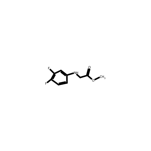 COC(=O)CNc1ccc(F)c(F)c1